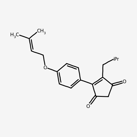 CC(C)=CCOc1ccc(C2=C(CC(C)C)C(=O)CC2=O)cc1